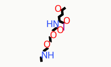 CCNCCOCCOCC(=O)NC(CCC(C)=O)C(=O)I